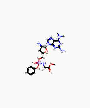 COC(=O)[C@H](C)N[P@@](=O)(OC[C@@H]1CC(=N)[C@H](n2cnc3c(N(C)C)nc(N)nc32)O1)Oc1ccccc1